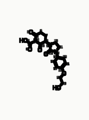 O=C(O)N1C(=O)CCC(N2CCN(c3ccc(OCCO)cc3)C2=O)C1=O